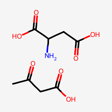 CC(=O)CC(=O)O.NC(CC(=O)O)C(=O)O